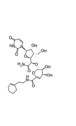 NC(=O)[C@H](O[C@H]1OC(C(=O)NCCC2=CCCCC2)=C[C@H](O)[C@@H]1O)[C@H]1O[C@@H](n2ccc(=O)[nH]c2=O)[C@H](O)[C@@H]1CO